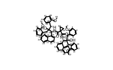 COc1ccccc1CC(O)(Cc1ccccc1OC)[C@@H](NC(=O)C1(C(=O)N[C@@H](c2cccc3ccccc23)C(O)(Cc2ccccc2OC)Cc2ccccc2OC)CC1)c1cccc2ccccc12